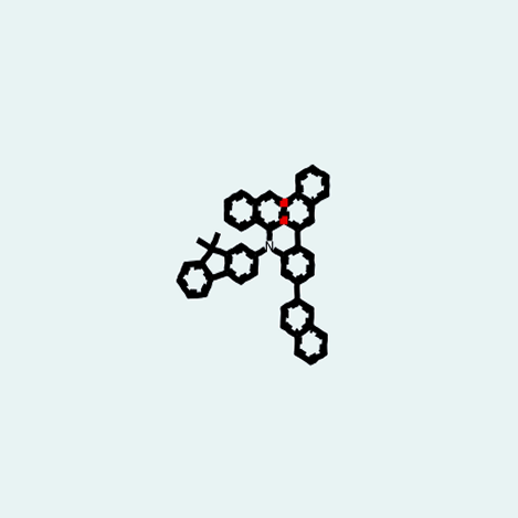 CC1(C)c2ccccc2-c2ccc(N(c3cc(-c4ccc5ccccc5c4)ccc3-c3ccc4ccccc4c3)c3cccc4ccccc34)cc21